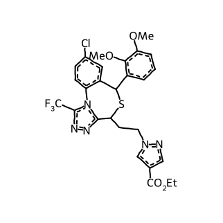 CCOC(=O)c1cnn(CCC2SC(c3cccc(OC)c3OC)c3cc(Cl)ccc3-n3c2nnc3C(F)(F)F)c1